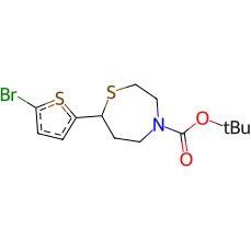 CC(C)(C)OC(=O)N1CCSC(c2ccc(Br)s2)CC1